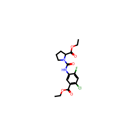 CCOC(=O)c1cc(NC(=O)N2CCCC2C(=O)OCC)c(F)cc1Cl